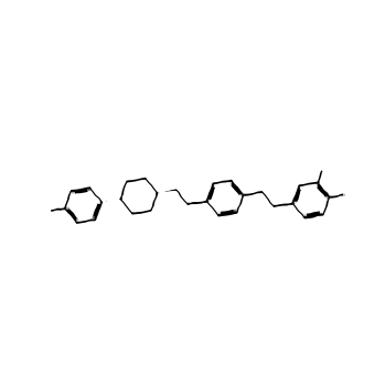 Cc1ccc([C@H]2CC[C@H](CCc3ccc(CCc4ccc(Cl)c(F)c4)cc3)CC2)cc1